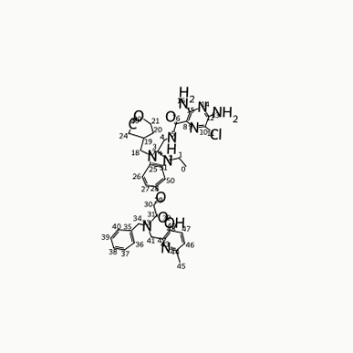 CCn1c(CNC(=O)c2nc(Cl)c(N)nc2N)[n+](CC2CCOCC2)c2ccc(OCC(=O)N(Cc3ccccc3)Cc3nc(C)ccc3O)cc21